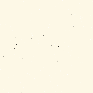 CC(C)/C(C=N)=C/NCC1CC1